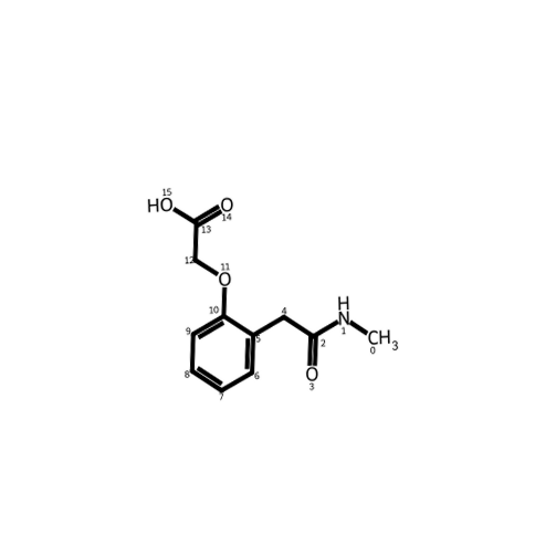 CNC(=O)Cc1ccccc1OCC(=O)O